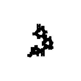 Cn1cc(Nc2nccc(C3CCNCC3)n2)cn1